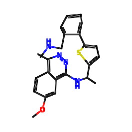 CNCc1ccccc1-c1ccc(C(C)Nc2nnc(C)c3ccc(OC)cc23)s1